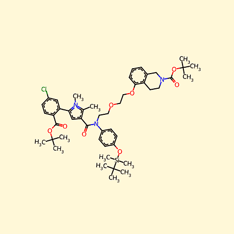 Cc1c(C(=O)N(CCOCCOc2cccc3c2CCN(C(=O)OC(C)(C)C)C3)c2ccc(O[Si](C)(C)C(C)(C)C)cc2)cc(-c2cc(Cl)ccc2C(=O)OC(C)(C)C)n1C